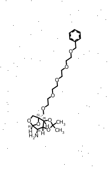 CC1(C)O[C@@H]2[C@@H](N)[C@@H]3OC[C@](COCCOCCOCCOCCOCc4ccccc4)(O3)[C@@H]2O1